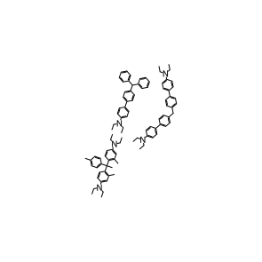 CCN(CC)c1ccc(-c2ccc(C(c3ccccc3)c3ccccc3)cc2)cc1.CCN(CC)c1ccc(-c2ccc(Cc3ccc(-c4ccc(N(CC)CC)cc4)cc3)cc2)cc1.CCN(CC)c1ccc(C(C)(c2ccc(C)cc2)c2ccc(N(CC)CC)cc2C)c(C)c1